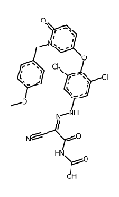 COc1ccc(Cn2cc(Oc3c(Cl)cc(NN=C(C#N)C(=O)NC(=O)O)cc3Cl)ccc2=O)cc1